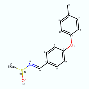 Cc1ccc(Oc2ccc(C=N[S@+]([O-])C(C)(C)C)cc2)cc1